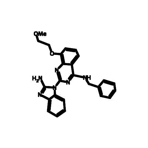 COCCOc1cccc2c(NCc3ccccc3)nc(-n3c(N)nc4ccccc43)nc12